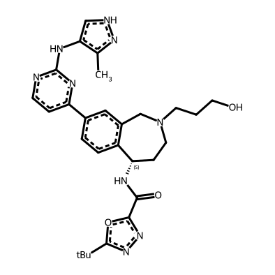 Cc1n[nH]cc1Nc1nccc(-c2ccc3c(c2)CN(CCCO)CC[C@@H]3NC(=O)c2nnc(C(C)(C)C)o2)n1